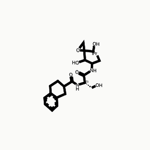 CC(C)CC(NC(=O)[C@H](CO)NC(=O)C1CCc2ccccc2C1)C(O)C1(CO)CO1